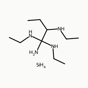 CCNC(CC)C(N)(NCC)NCC.[SiH4]